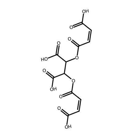 O=C(O)/C=C\C(=O)OC(C(=O)O)C(OC(=O)/C=C\C(=O)O)C(=O)O